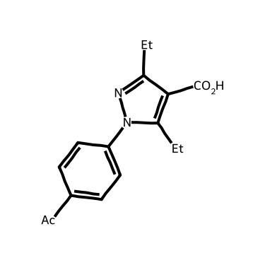 CCc1nn(-c2ccc(C(C)=O)cc2)c(CC)c1C(=O)O